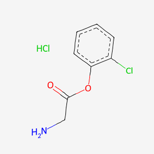 Cl.NCC(=O)Oc1ccccc1Cl